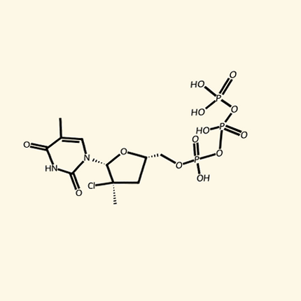 Cc1cn([C@@H]2O[C@H](COP(=O)(O)OP(=O)(O)OP(=O)(O)O)C[C@@]2(C)Cl)c(=O)[nH]c1=O